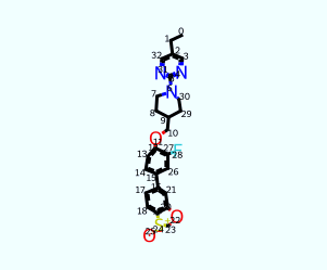 CCc1cnc(N2CCC(COc3ccc(-c4ccc5c(c4)OC[S@+]5[O-])cc3F)CC2)nc1